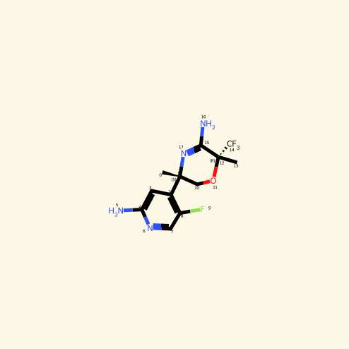 C[C@]1(c2cc(N)ncc2F)CO[C@@](C)(C(F)(F)F)C(N)=N1